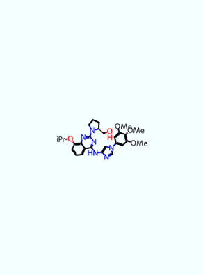 COc1cc(-n2cnc(Nc3nc(N4CCC[C@H]4CO)nc4c(OC(C)C)cccc34)c2)cc(OC)c1OC